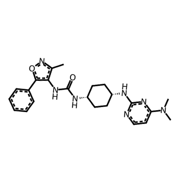 Cc1noc(-c2ccccc2)c1NC(=O)N[C@H]1CC[C@@H](Nc2nccc(N(C)C)n2)CC1